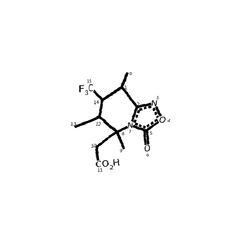 CC1c2noc(=O)n2C(C)(CC(=O)O)C(C)C1C(F)(F)F